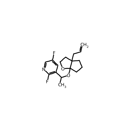 C=CCC12CCCC1(OC(C)c1cc(F)cnc1F)OCC2